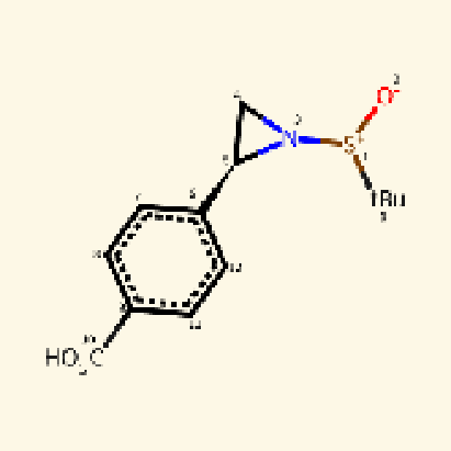 CC(C)(C)[S+]([O-])N1C[C@@H]1c1ccc(C(=O)O)cc1